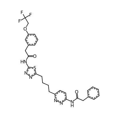 O=C(Cc1ccccc1)Nc1ccc(CCCCc2nnc(NC(=O)Cc3cccc(OCC(F)(F)F)c3)s2)nn1